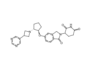 O=C1CCC(N2Cc3cc(O[C@@H]4CCC[C@H]4N4CC(c5cncnc5)C4)ccc3C2=O)C(=O)N1